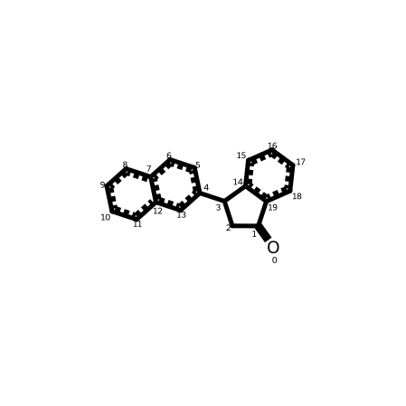 O=C1CC(c2ccc3ccccc3c2)c2ccccc21